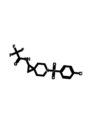 O=C(NC1CC12CCN(S(=O)(=O)c1ccc(Cl)cc1)CC2)C(F)(F)F